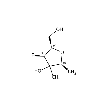 C[C@@H]1O[C@H](CO)[C@H](F)C1(C)O